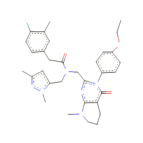 CCOc1ccc(-n2c([C@@H](C)N(Cc3cc(C)nn3C)C(=O)Cc3ccc(F)c(C)c3)nc3c(c2=O)CCCN3C)cc1